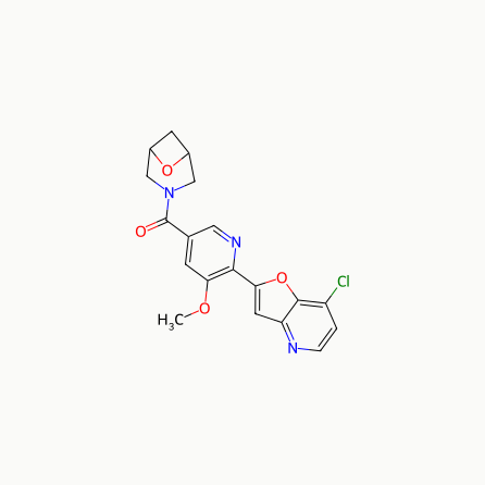 COc1cc(C(=O)N2CC3CC(C2)O3)cnc1-c1cc2nccc(Cl)c2o1